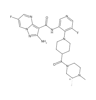 C[C@@H]1CN(C(=O)C2CCN(c3c(F)cncc3NC(=O)c3c(N)nn4cc(F)cnc34)CC2)CCN1C